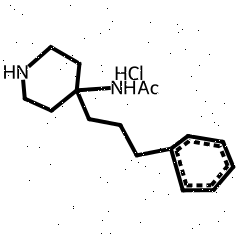 CC(=O)NC1(CCCc2ccccc2)CCNCC1.Cl